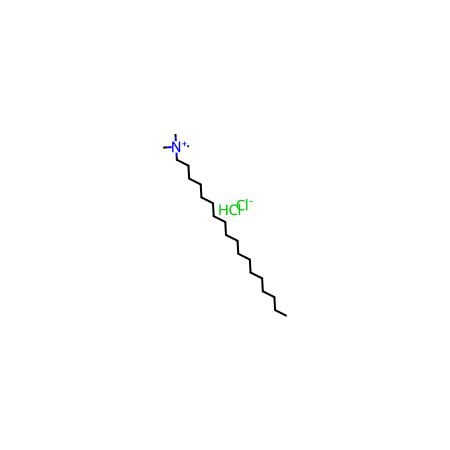 CCCCCCCCCCCCCCCCCC[N+](C)(C)C.Cl.[Cl-]